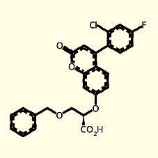 O=C(O)[C@@H](COCc1ccccc1)Oc1ccc2c(-c3ccc(F)cc3Cl)cc(=O)oc2c1